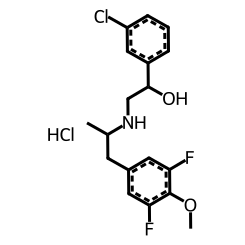 COc1c(F)cc(CC(C)NCC(O)c2cccc(Cl)c2)cc1F.Cl